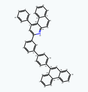 c1ccc(-c2cc(-c3cccc(-c4ccc(-c5cc6ccccc6c6ccccc56)cc4)c3)nc3ccc4ccccc4c23)cc1